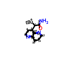 CC(C)(C)C(C(N)=O)c1ccnc2cccnc12